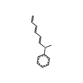 C=C/C=C/C=C/N(C)c1ccccc1